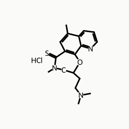 Cc1cc2c(c3ncccc13)OC(CCN(C)C)CN(C)C2=S.Cl